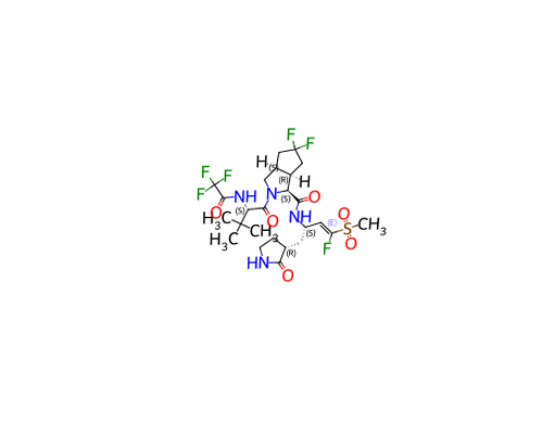 CC(C)(C)[C@H](NC(=O)C(F)(F)F)C(=O)N1C[C@H]2CC(F)(F)C[C@H]2[C@H]1C(=O)N[C@H](/C=C(\F)S(C)(=O)=O)C[C@H]1CCNC1=O